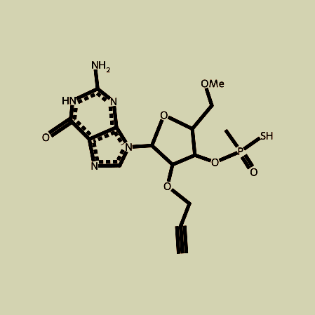 C#CCOC1C(OP(C)(=O)S)C(COC)OC1n1cnc2c(=O)[nH]c(N)nc21